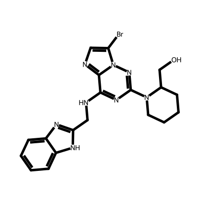 OCC1CCCCN1c1nc(NCc2nc3ccccc3[nH]2)c2ncc(Br)n2n1